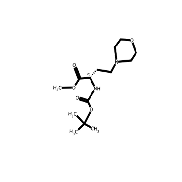 COC(=O)[C@H](CCN1CCOCC1)NC(=O)OC(C)(C)C